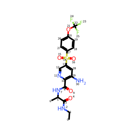 CCNC(=O)C(C)NC(=O)c1ncc(S(=O)(=O)c2ccc(OC(F)(F)F)cc2)cc1N